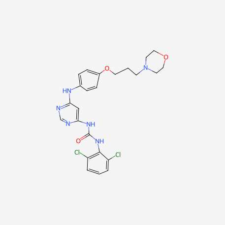 O=C(Nc1cc(Nc2ccc(OCCCN3CCOCC3)cc2)ncn1)Nc1c(Cl)cccc1Cl